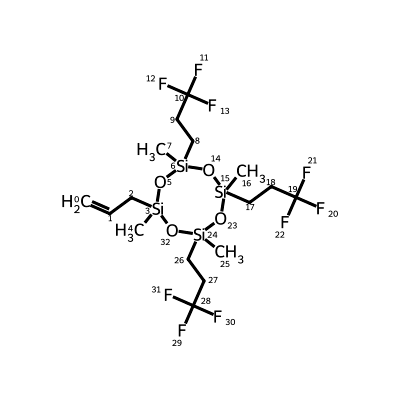 C=CC[Si]1(C)O[Si](C)(CCC(F)(F)F)O[Si](C)(CCC(F)(F)F)O[Si](C)(CCC(F)(F)F)O1